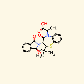 CC(C(=O)O)N1C(=O)[C@@H](N2C(=O)c3ccccc3C2=O)C(C(C)(C)C)Sc2ccccc21